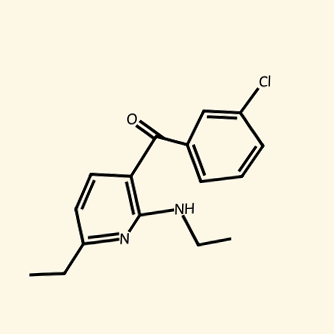 CCNc1nc(CC)ccc1C(=O)c1cccc(Cl)c1